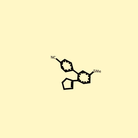 CSc1ccc(C2=CCCC2)c(-c2ccc(C#N)cc2)c1